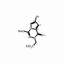 CCOC(=O)Cn1nc(OC)n2cc(C(C)C)cc2c1=O